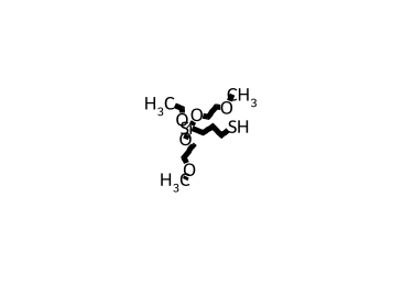 CCO[Si](CCCS)(OCCOC)OCCOC